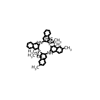 Cc1ccc2cc3c(cc2c1)P([Si](C)(C)C)c1cc2ccccc2cc1Nc1cc2ccccc2cc1P([Si](C)(C)C)c1cc2cc(C)ccc2cc1N3